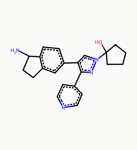 NC1CCc2cc(-c3cn(C4(O)CCCC4)nc3-c3ccncc3)ccc21